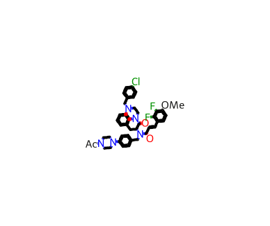 COc1ccc(C=CC(=O)N(Cc2ccc(N3CCN(C(C)=O)CC3)cc2)C(Cc2ccccc2)C(=O)N2CCN(Cc3ccc(Cl)cc3)CC2)c(F)c1F